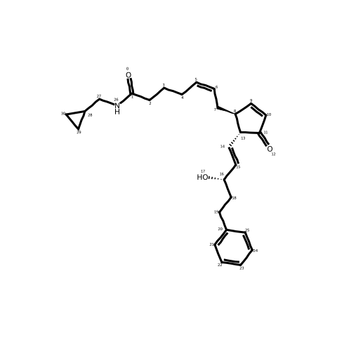 O=C(CCC/C=C\C[C@H]1C=CC(=O)[C@@H]1/C=C/[C@@H](O)CCc1ccccc1)NCC1CC1